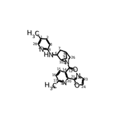 Cc1ccc(NC2CC3CC2N(C(=O)c2ccc(C)nc2-c2ncco2)C3)nc1